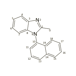 Cc1nc2ccccc2n1-c1cccc2ccccc12